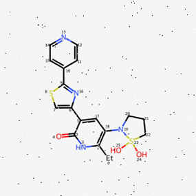 CCc1[nH]c(=O)c(-c2csc(-c3ccncc3)n2)cc1N1CCCS1(O)O